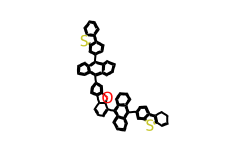 C1=CC2c3ccc(-c4c5ccccc5c(-c5ccc6c(c5)sc5ccccc56)c5ccccc45)cc3OC2C(c2c3ccccc3c(-c3ccc4c5c(sc4c3)C=CCC5)c3ccccc23)=C1